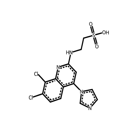 O=S(=O)(O)CCNc1cc(-n2ccnc2)c2ccc(Cl)c(Cl)c2n1